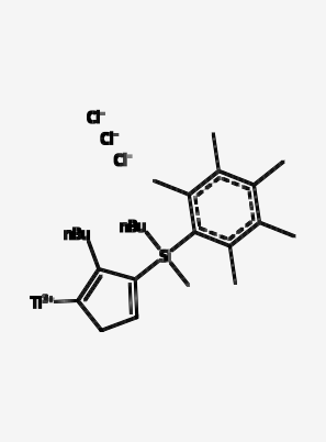 CCCCC1=[C]([Ti+3])CC=C1[Si](C)(CCCC)c1c(C)c(C)c(C)c(C)c1C.[Cl-].[Cl-].[Cl-]